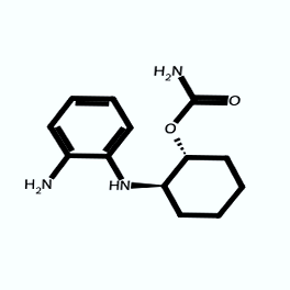 NC(=O)O[C@@H]1CCCC[C@H]1Nc1ccccc1N